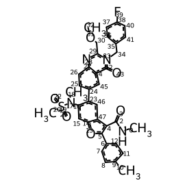 CNC(=O)c1c(-c2ccc(C)cc2)oc2cc(N(C)S(C)(=O)=O)c(-c3ccc4nc(COC)n(Cc5ccc(F)cc5)c(=O)c4c3)cc12